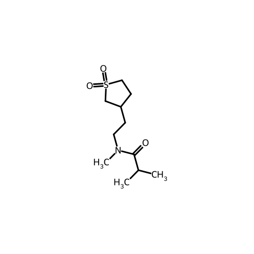 CC(C)C(=O)N(C)CCC1CCS(=O)(=O)C1